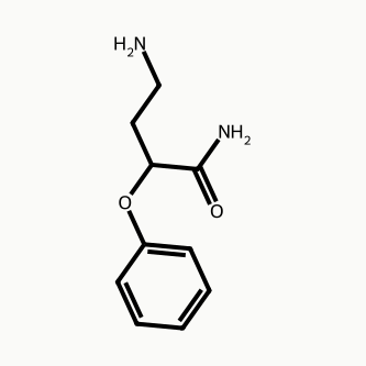 NCCC(Oc1ccccc1)C(N)=O